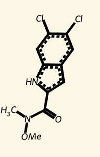 CON(C)C(=O)c1cc2cc(Cl)c(Cl)cc2[nH]1